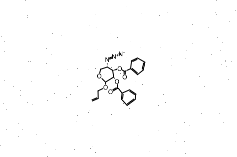 C=CCO[C@H]1OC[C@H](N=[N+]=[N-])[C@@H](OC(=O)c2ccccc2)[C@@H]1OC(=O)c1ccccc1